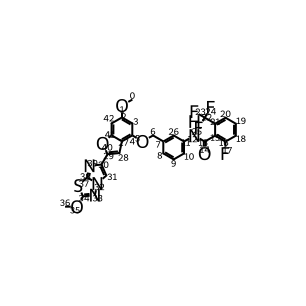 COc1cc(OCc2cccc(NC(=O)c3c(F)cccc3C(F)(F)F)c2)c2cc(-c3cn4nc(OC)sc4n3)oc2c1